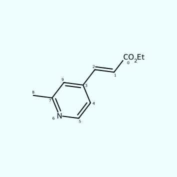 CCOC(=O)C=Cc1ccnc(C)c1